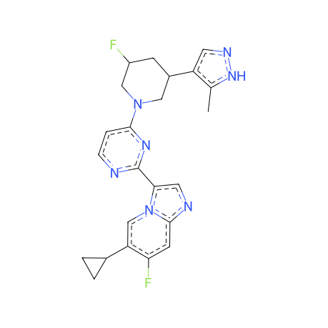 Cc1[nH]ncc1C1CC(F)CN(c2ccnc(-c3cnc4cc(F)c(C5CC5)cn34)n2)C1